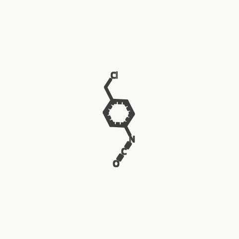 O=C=Nc1ccc(CCl)cc1